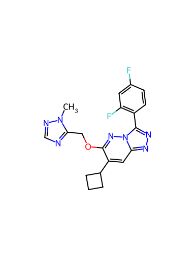 Cn1ncnc1COc1nn2c(-c3ccc(F)cc3F)nnc2cc1C1CCC1